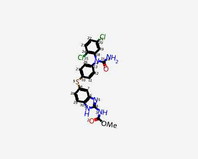 COC(=O)Nc1nc2cc(Sc3ccc(N(C(N)=O)c4cc(Cl)ccc4Cl)cc3)ccc2[nH]1